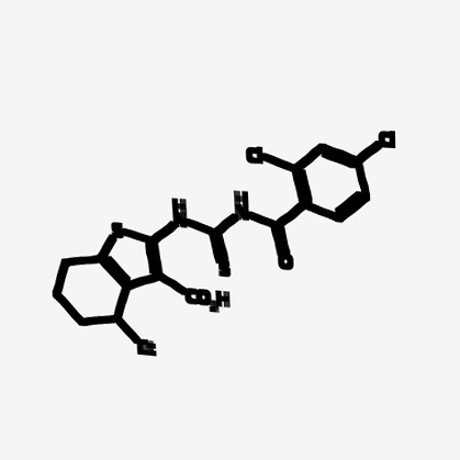 CCC1CCCc2sc(NC(=S)NC(=O)c3ccc(Cl)cc3Cl)c(C(=O)O)c21